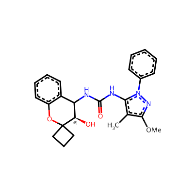 COc1nn(-c2ccccc2)c(NC(=O)NC2c3ccccc3OC3(CCC3)[C@@H]2O)c1C